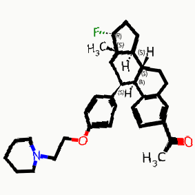 CC(=O)c1ccc2c(c1)CC[C@@H]1[C@@H]2[C@@H](c2ccc(OCCN3CCCCC3)cc2)C[C@]2(C)[C@H](F)CC[C@@H]12